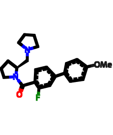 COc1ccc(-c2ccc(C(=O)N3CCC[C@H]3CN3CCCC3)c(F)c2)cc1